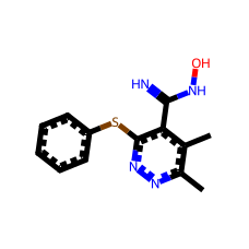 Cc1nnc(Sc2ccccc2)c(C(=N)NO)c1C